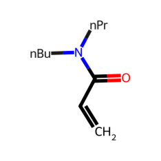 C=CC(=O)N(CCC)CCCC